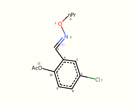 CCCO/N=C/c1cc(Cl)ccc1OC(C)=O